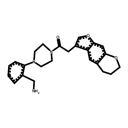 NCc1ccccc1N1CCN(C(=O)Cc2coc3cc4c(cc23)CCCO4)CC1